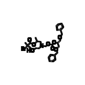 CC(CN(CCO)COC(=O)OC(COCc1ccccc1)COCc1ccccc1)OC(=O)C(C)(C)Br